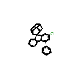 Clc1cc(-c2ccccc2)c2c(c1)C1(c3ccccc3-2)C2CC3CC(C2)CC1C3